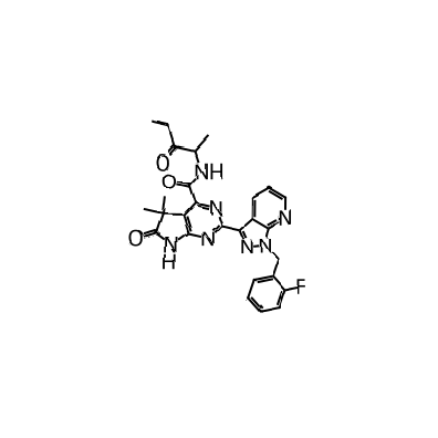 CCC(=O)C(C)NC(=O)c1nc(-c2nn(Cc3ccccc3F)c3ncccc23)nc2c1C(C)(C)C(=O)N2